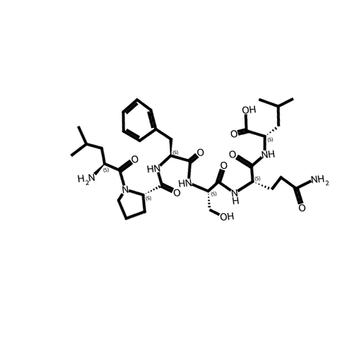 CC(C)C[C@H](NC(=O)[C@H](CCC(N)=O)NC(=O)[C@H](CO)NC(=O)[C@H](Cc1ccccc1)NC(=O)[C@@H]1CCCN1C(=O)[C@@H](N)CC(C)C)C(=O)O